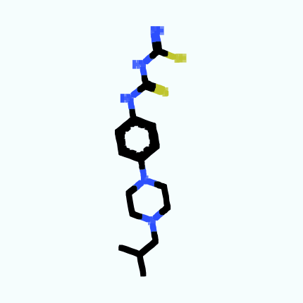 CC(C)CN1CCN(c2ccc(NC(=S)NC(=N)S)cc2)CC1